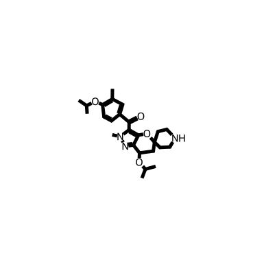 Cc1cc(C(=O)c2c3c(nn2C)C(OC(C)C)CC2(CCNCC2)O3)ccc1OC(C)C